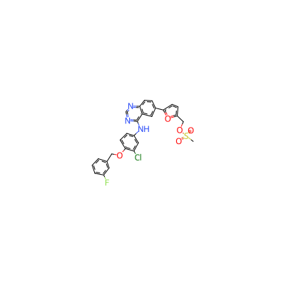 CS(=O)(=O)OCc1ccc(-c2ccc3ncnc(Nc4ccc(OCc5cccc(F)c5)c(Cl)c4)c3c2)o1